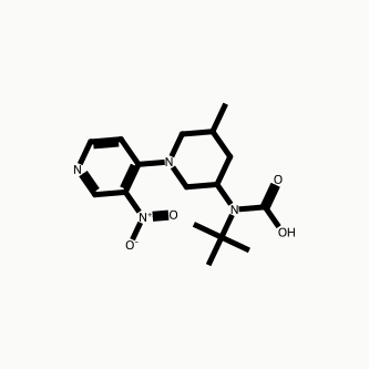 CC1CC(N(C(=O)O)C(C)(C)C)CN(c2ccncc2[N+](=O)[O-])C1